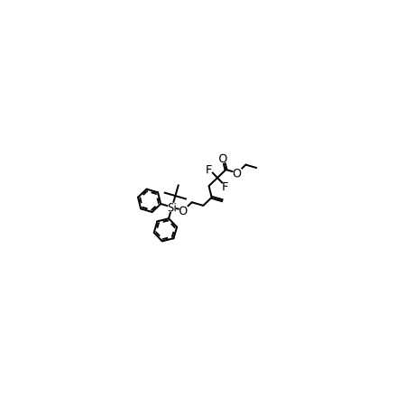 C=C(CCO[Si](c1ccccc1)(c1ccccc1)C(C)(C)C)CC(F)(F)C(=O)OCC